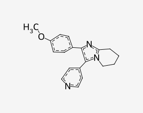 COc1ccc(-c2nc3n(c2-c2ccncc2)CCCC3)cc1